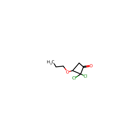 CCCOC1CC(=O)C1(Cl)Cl